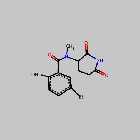 CCc1ccc(C=O)c(C(=O)N(C)C2CCC(=O)NC2=O)c1